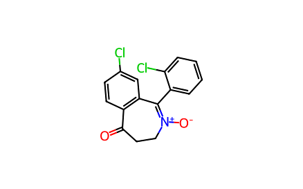 O=C1CC[N+]([O-])=C(c2ccccc2Cl)c2cc(Cl)ccc21